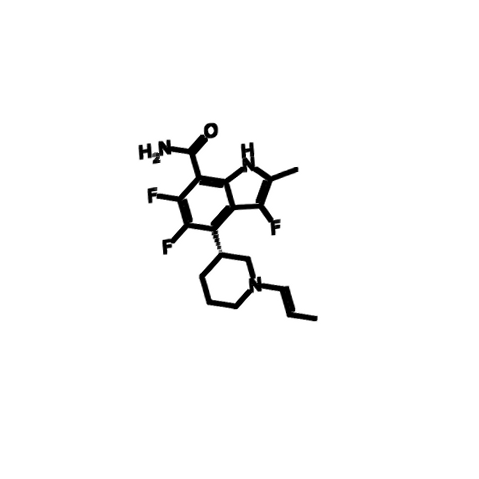 CC=CN1CCC[C@H](c2c(F)c(F)c(C(N)=O)c3[nH]c(C)c(F)c23)C1